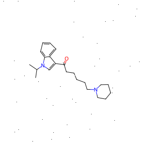 CC(C)n1cc(C(=O)CCCCCN2CC[CH]CC2)c2ccccc21